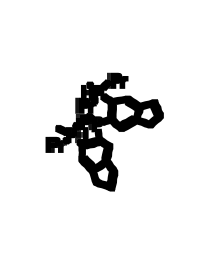 CC(C)[PH](C)(c1cc2c(cc1P(C)c1cc3c(cc1[PH](C)(C(C)C)C(C)C)CC=C3)CC=C2)C(C)C